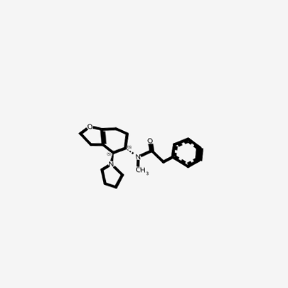 CN(C(=O)Cc1cc#ccc1)[C@H]1CCC2=C(CCO2)[C@@H]1N1CCCC1